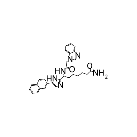 NC(=O)CCCCC[C@H](NC(=O)Cn1cnc2ccccc21)c1ncc(-c2ccc3ccccc3c2)[nH]1